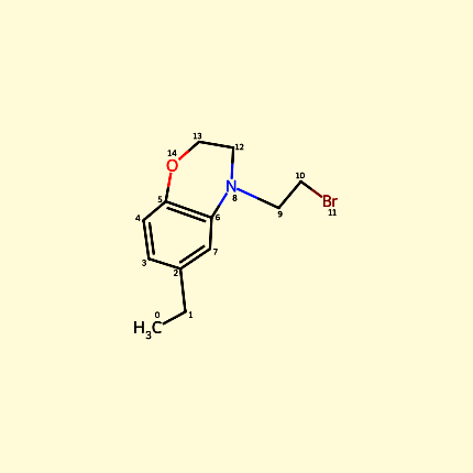 CCc1ccc2c(c1)N(CCBr)CCO2